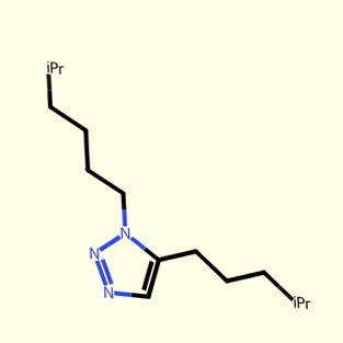 CC(C)CCCCn1nncc1CCCC(C)C